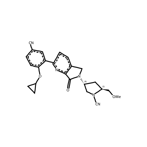 COC[C@@H]1C[C@@H](N2Cc3ccc(-c4cc(C#N)ccc4OC4CC4)nc3C2=O)CN1C#N